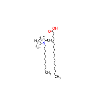 CCCCCCCCCCCCCCCCCC(=O)O.CCCCCCCCCCCN(C(C)C)C(C)C